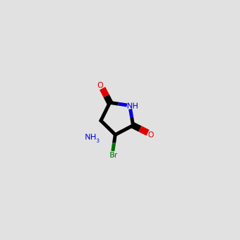 N.O=C1CC(Br)C(=O)N1